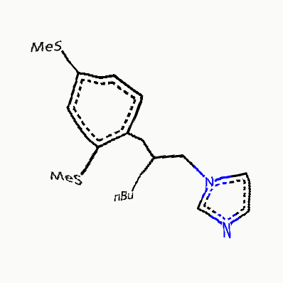 CCCCC(Cn1ccnc1)c1ccc(SC)cc1SC